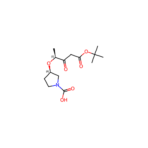 C[C@H](O[C@@H]1CCN(C(=O)O)C1)C(=O)CC(=O)OC(C)(C)C